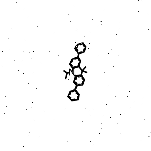 CC(C)N1c2cc(-c3ccccc3)ccc2C(C)(C)c2cc(-c3ccccc3)ccc21